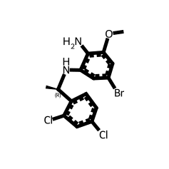 COc1cc(Br)cc(N[C@H](C)c2ccc(Cl)cc2Cl)c1N